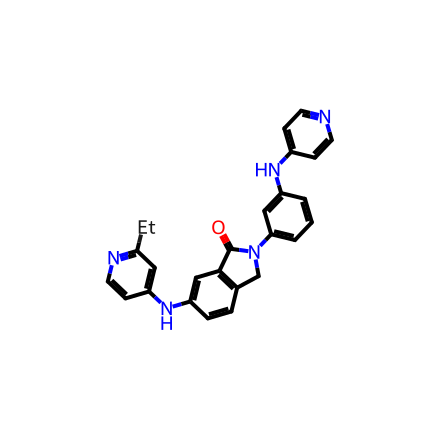 CCc1cc(Nc2ccc3c(c2)C(=O)N(c2cccc(Nc4ccncc4)c2)C3)ccn1